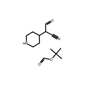 CC(C)(C)OC=O.N#CC(C=O)C1CCNCC1